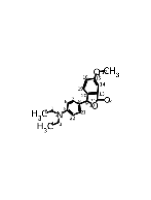 CCN(CC)c1ccc(C2OC(=O)c3cc(OC)ccc32)cc1